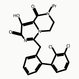 CC(C)N1CCn2c(Cc3ccccc3-c3cccc(Cl)c3Cl)nc(=O)c(O)c2C1=O